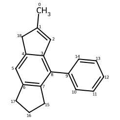 CC1=Cc2c(cc3c(c2-c2ccccc2)CCC3)C1